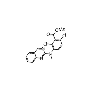 COC(=O)c1c(Cl)ccc(N(C)c2ncc3ccccc3n2)c1Cl